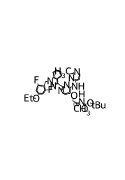 CCOc1cc(F)c(Cn2nc(-c3ncc(OC[C@H](C)NC(=O)OC(C)(C)C)c(Nc4ccnc(C)n4)n3)c3ccccc32)c(F)c1